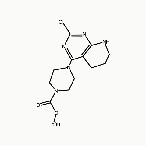 CC(C)(C)OC(=O)N1CCN(c2nc(Cl)nc3c2CCCN3)CC1